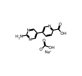 Nc1ncc(-c2ccc(C(=O)O)nc2)cn1.O=C([O-])O.[Na+]